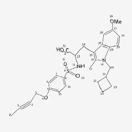 CC#CCOc1ccc(S(=O)(=O)NC(Cc2c(C)n(CC3CCC3)c3ccc(OC)cc23)C(=O)O)cc1